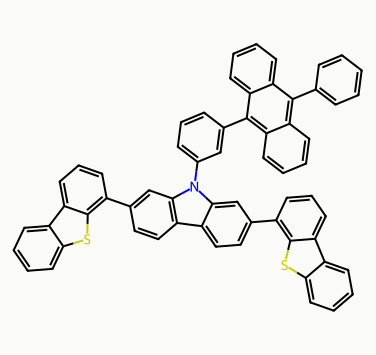 c1ccc(-c2c3ccccc3c(-c3cccc(-n4c5cc(-c6cccc7c6sc6ccccc67)ccc5c5ccc(-c6cccc7c6sc6ccccc67)cc54)c3)c3ccccc23)cc1